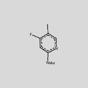 CNc1cc(F)c(C)cn1